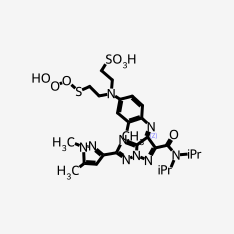 Cc1cc(N(CCSOOO)CCS(=O)(=O)O)ccc1/N=C1/C(C(=O)N(C(C)C)C(C)C)=Nn2nc(-c3cc(C)n(C)n3)nc21